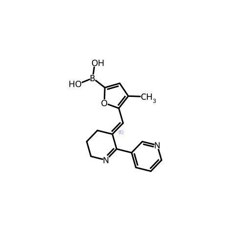 Cc1cc(B(O)O)oc1/C=C1\CCCN=C1c1cccnc1